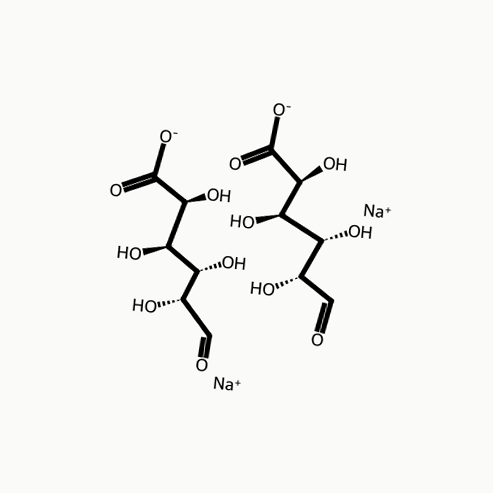 O=C[C@H](O)[C@@H](O)[C@@H](O)[C@H](O)C(=O)[O-].O=C[C@H](O)[C@@H](O)[C@@H](O)[C@H](O)C(=O)[O-].[Na+].[Na+]